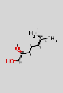 CC(C)=CCCC(=O)CO